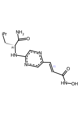 CC(C)C[C@@H](Nc1cnc(/C=C/C(=O)NO)cn1)C(N)=O